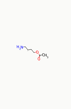 CC(=O)OCC[CH]CN